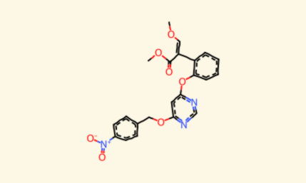 COC=C(C(=O)OC)c1ccccc1Oc1cc(OCc2ccc([N+](=O)[O-])cc2)ncn1